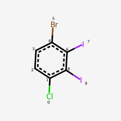 Clc1ccc(Br)c(I)c1I